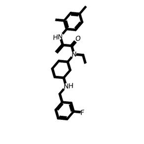 C=C(Nc1ccc(C)cc1C)C(=O)N(CC)C1CCCC(NCc2cccc(F)c2)C1